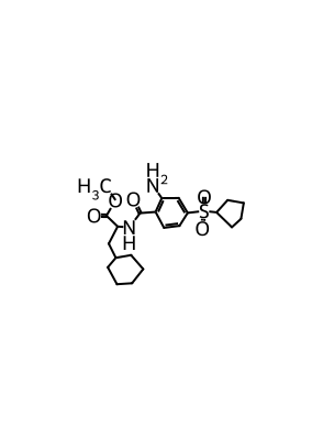 COC(=O)C(CC1CCCCC1)NC(=O)c1ccc(S(=O)(=O)C2CCCC2)cc1N